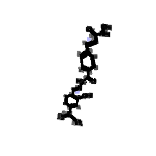 CCN(CC)c1ccc(/C=N/NC(=O)c2ccc(/C=C/C(=O)NO)cc2)c(O)c1